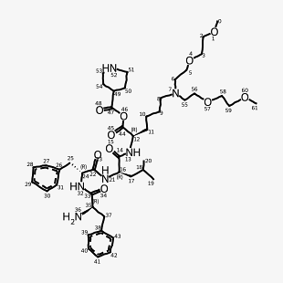 COCCOCCN(CCCC[C@@H](NC(=O)[C@@H](CC(C)C)NC(=O)[C@@H](Cc1ccccc1)NC(=O)[C@H](N)Cc1ccccc1)C(=O)OC(=O)C1CCNCC1)CCOCCOC